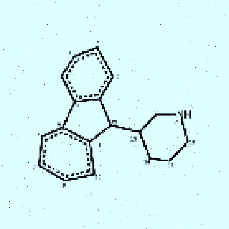 c1ccc2c(c1)-c1ccccc1C2C1CCCNC1